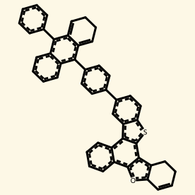 C1=Cc2oc3c4ccccc4c4c5cc(-c6ccc(-c7c8c(c(-c9ccccc9)c9ccccc79)=CCCC=8)cc6)ccc5sc4c3c2CC1